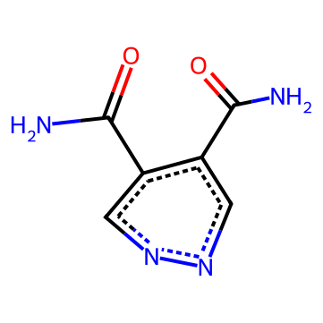 NC(=O)c1cnncc1C(N)=O